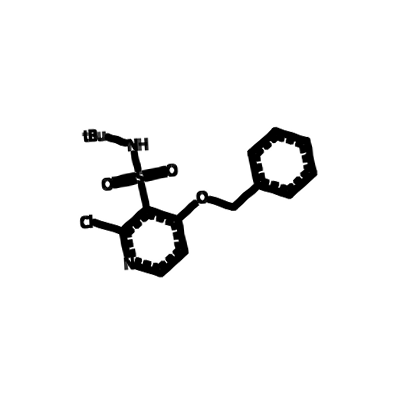 CC(C)(C)NS(=O)(=O)c1c(OCc2ccccc2)ccnc1Cl